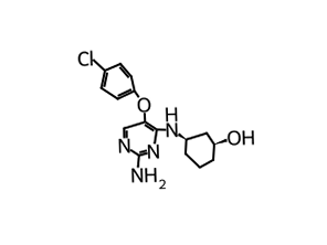 Nc1ncc(Oc2ccc(Cl)cc2)c(N[C@@H]2CCC[C@H](O)C2)n1